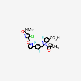 CNC(=O)c1cc(Cl)c(COc2cccc(-c3cc(F)c(Cc4nc5c(F)cc(C(=O)O)cc5n4[C@@H]4COCC4(C)C)cc3F)n2)cn1